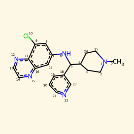 CN1CCC(C(Nc2cc(Cl)c3nccnc3c2)c2cccnc2)CC1